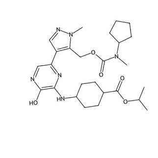 CC(C)OC(=O)C1CCC(Nc2nc(-c3cnn(C)c3COC(=O)N(C)C3CCCC3)cnc2O)CC1